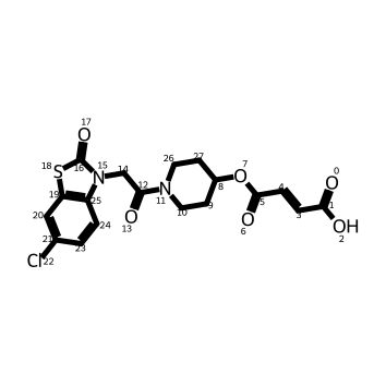 O=C(O)/C=C/C(=O)OC1CCN(C(=O)Cn2c(=O)sc3cc(Cl)ccc32)CC1